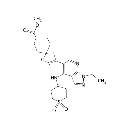 CCn1ncc2c(NC3CCS(=O)(=O)CC3)c(C3=NOC4(CCC(C(=O)OC)CC4)C3)cnc21